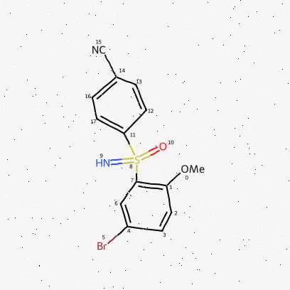 COc1ccc(Br)cc1S(=N)(=O)c1ccc(C#N)cc1